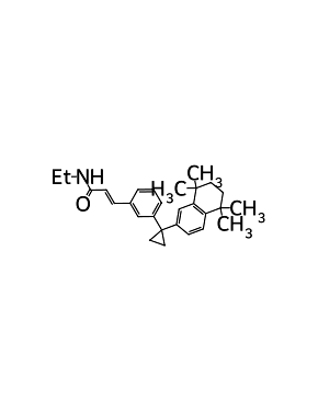 CCNC(=O)C=Cc1cccc(C2(c3ccc4c(c3)C(C)(C)CCC4(C)C)CC2)c1